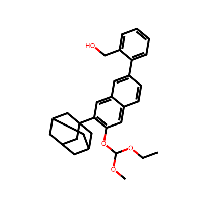 CCOC(OC)Oc1cc2ccc(-c3ccccc3CO)cc2cc1C12CC3CC(CC(C3)C1)C2